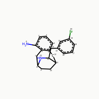 Nc1cccc2c1CC1CCC(C2)C(Cc2cccc(Br)c2)N1